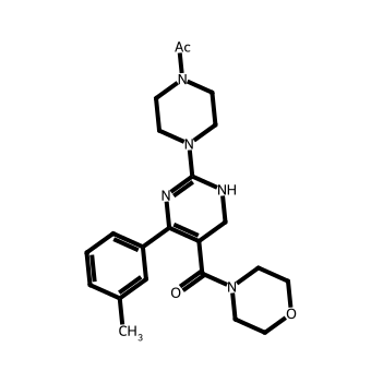 CC(=O)N1CCN(C2=NC(c3cccc(C)c3)=C(C(=O)N3CCOCC3)CN2)CC1